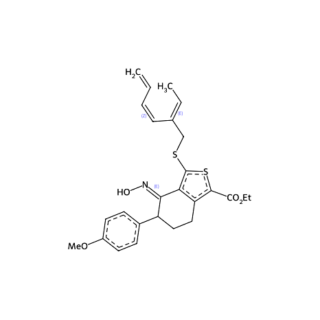 C=C/C=C\C(=C/C)CSc1sc(C(=O)OCC)c2c1/C(=N/O)C(c1ccc(OC)cc1)CC2